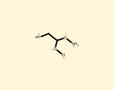 CCCCC(O[SiH3])OCC